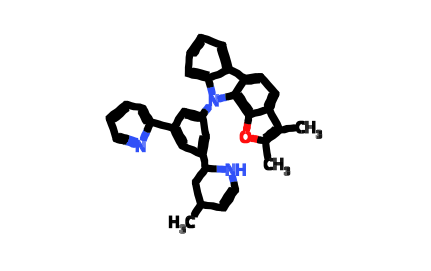 Cc1oc2c(ccc3c4ccccc4n(-c4cc(-c5ccccn5)cc(C5CC(C)C=CN5)c4)c32)c1C